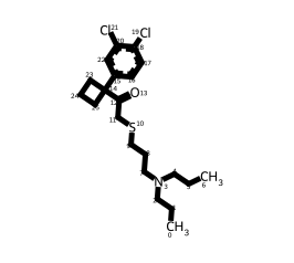 CCCN(CCC)CCCSCC(=O)C1(c2ccc(Cl)c(Cl)c2)CCC1